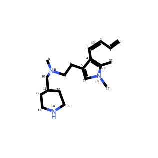 C=C/C=C\c1c(CCN(C)CC2CCNCC2)cn(C)c1C